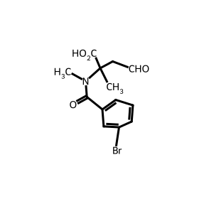 CN(C(=O)c1cccc(Br)c1)C(C)(CC=O)C(=O)O